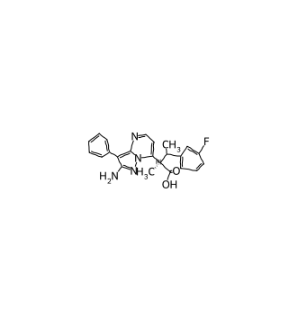 CC(c1cccc(F)c1)[C@@](C)(C(=O)O)c1ccnc2c(-c3ccccc3)c(N)nn12